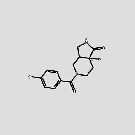 O=C1NCC2CN(C(=O)c3ccc(Cl)cc3)CC[C@@H]12